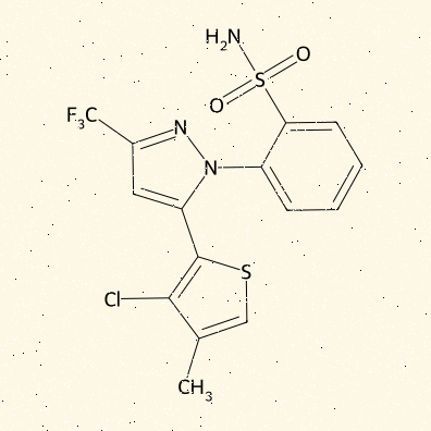 Cc1csc(-c2cc(C(F)(F)F)nn2-c2ccccc2S(N)(=O)=O)c1Cl